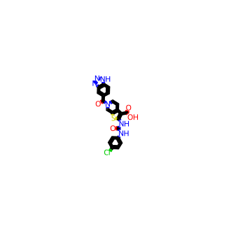 O=C(Nc1ccc(Cl)cc1)Nc1sc2c(c1C(=O)O)CCN(C(=O)c1ccc3[nH]nnc3c1)C2